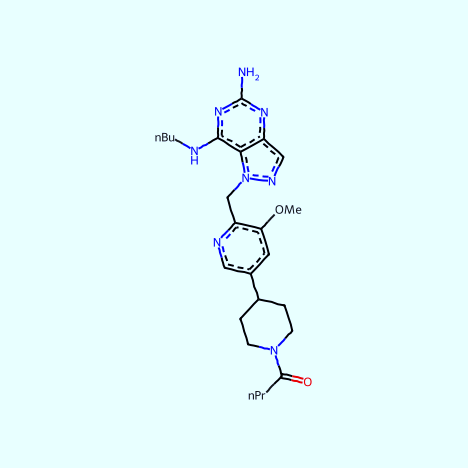 CCCCNc1nc(N)nc2cnn(Cc3ncc(C4CCN(C(=O)CCC)CC4)cc3OC)c12